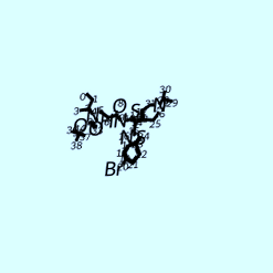 CCC(C)N(CCC(=O)Nc1sc2c(c1-c1nc3cc(Br)ccc3s1)CCN(C(C)C)C2)C(=O)OC(C)(C)C